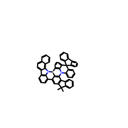 CC1(C)c2ccccc2-c2c1cc1c3c2N2c4ccccc4C4(c5ccccc5-c5ccccc54)c4cccc(c42)B3n2c3c-1cccc3c1ccc3ccccc3c12